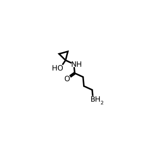 BCCCC(=O)NC1(O)CC1